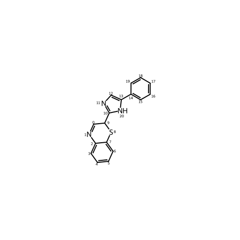 C1=Nc2ccccc2SC1c1ncc(-c2ccccc2)[nH]1